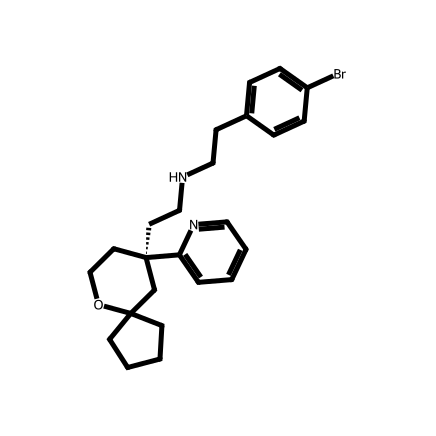 Brc1ccc(CCNCC[C@@]2(c3ccccn3)CCOC3(CCCC3)C2)cc1